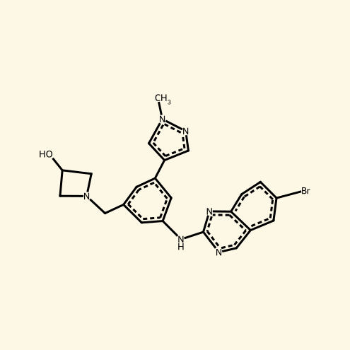 Cn1cc(-c2cc(CN3CC(O)C3)cc(Nc3ncc4cc(Br)ccc4n3)c2)cn1